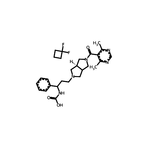 Cc1ncnc(C)c1C(=O)N1CC2CN(CCC(NC(=O)O)c3ccccc3)C[C@H]2C1.FC1(F)CCC1